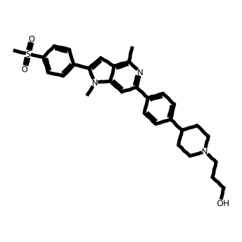 Cc1nc(-c2ccc(C3CCN(CCCO)CC3)cc2)cc2c1cc(-c1ccc(S(C)(=O)=O)cc1)n2C